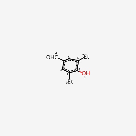 CCc1cc(C=O)cc(CC)c1O